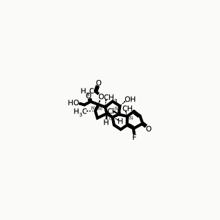 CC(=O)O[C@@]1(C(=O)CO)[C@@H](C)C[C@H]2[C@@H]3CCC4=C(F)C(=O)C=C[C@]4(C)[C@@]3(Cl)[C@@H](O)C[C@@]21C